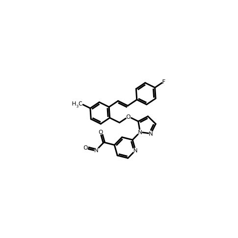 Cc1ccc(COc2ccnn2-c2cc(C(=O)N=O)ccn2)c(/C=C/c2ccc(F)cc2)c1